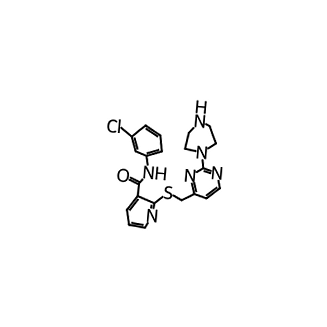 O=C(Nc1cccc(Cl)c1)c1cccnc1SCc1ccnc(N2CCNCC2)n1